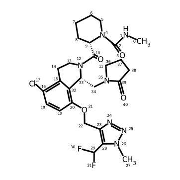 CNC(=O)N1CCCC[C@H]1C(=O)N1CCc2c(Cl)ccc(OCc3nnn(C)c3C(F)F)c2[C@H]1CN1CCCC1=O